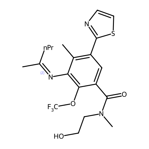 CCC/C(C)=N\c1c(C)c(-c2nccs2)cc(C(=O)N(C)CCO)c1OC(F)(F)F